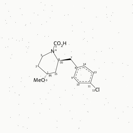 CO[C@@H]1CCN(C(=O)O)[C@@H](Cc2ccc(Cl)cc2)C1